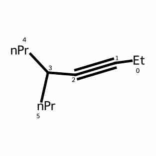 [CH2]CC#CC(CC[CH2])CCC